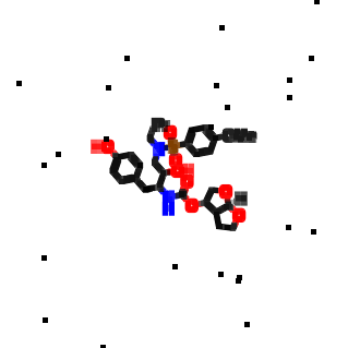 COc1ccc(S(=O)(=O)N(CC(C)C)C[C@@H](O)[C@H](Cc2ccc(O)cc2)NC(=O)OC2CO[C@H]3OCCC23)cc1